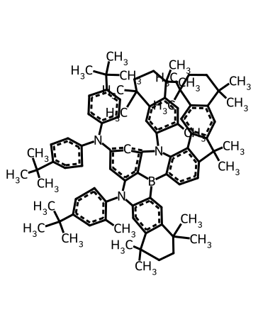 Cc1cc(C(C)(C)C)ccc1N1c2cc3c(cc2B2c4ccc5c(c4N(c4cc6c(cc4C)C(C)(C)CCC6(C)C)c4cc(N(c6ccc(C(C)(C)C)cc6)c6ccc(C(C)(C)C)cc6)cc1c42)-c1cc2c(cc1C5(C)C)C(C)(C)CCC2(C)C)C(C)(C)CCC3(C)C